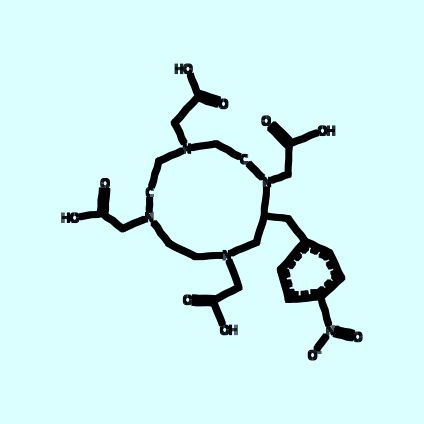 O=C(O)CN1CCN(CC(=O)O)CCN(CC(=O)O)C(Cc2ccc([N+](=O)[O-])cc2)CN(CC(=O)O)CC1